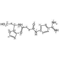 N=C(N)c1ccc(NC(=O)CCC(=O)NC(CC(=O)O)c2ccco2)cc1